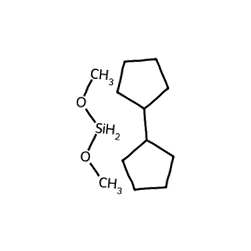 C1CCC(C2CCCC2)C1.CO[SiH2]OC